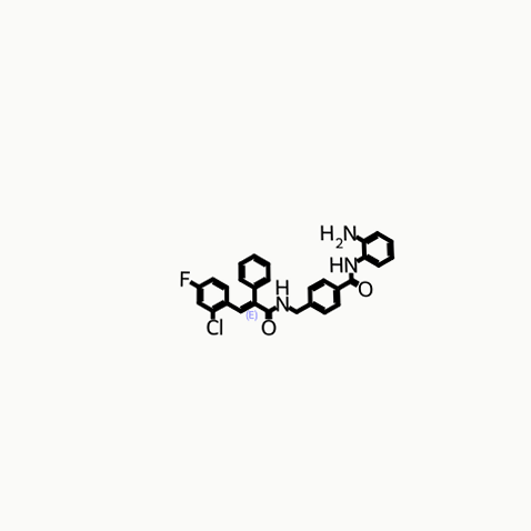 Nc1ccccc1NC(=O)c1ccc(CNC(=O)/C(=C/c2ccc(F)cc2Cl)c2ccccc2)cc1